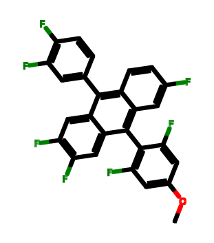 COc1cc(F)c(-c2c3cc(F)ccc3c(-c3ccc(F)c(F)c3)c3cc(F)c(F)cc23)c(F)c1